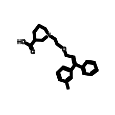 Cc1cccc(/C(=C\COCCN2CCCC(C(=O)O)C2)c2ccccc2)c1